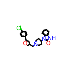 O=c1[nH]c2ccccc2n1C1CCN(CC2COC(c3ccc(Cl)cc3)C2)CC1